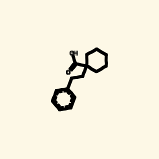 O=C(O)C1(CCc2ccccc2)CCCCC1